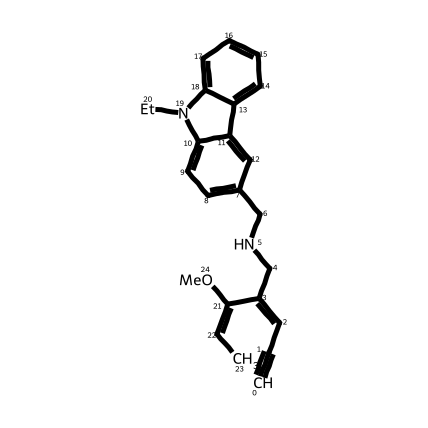 C#C/C=C(CNCc1ccc2c(c1)c1ccccc1n2CC)\C(=C/C)OC